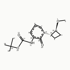 CO[C@H]1CC[C@@H]1n1cccc(NC(=O)OC(C)(C)C)c1=O